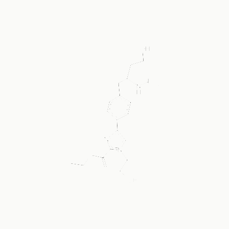 BNC(CCO)Cc1ccc(-c2cn(CCO)c(C(=O)OCC)n2)cc1